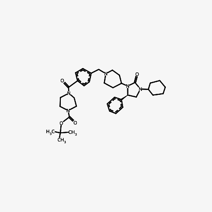 CC(C)(C)OC(=O)N1CCN(C(=O)c2ccc(CN3CCC(N4C(=O)N(C5CCCCC5)C[C@H]4c4ccccc4)CC3)cc2)CC1